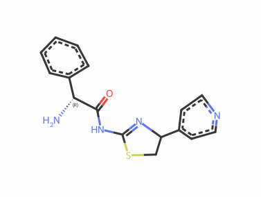 N[C@@H](C(=O)NC1=NC(c2ccncc2)CS1)c1ccccc1